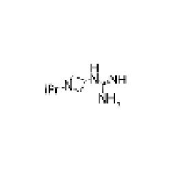 CC(C)N1CC(NC(=N)N)C1